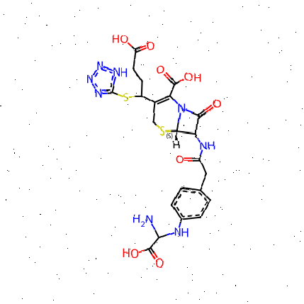 NC(Nc1ccc(CC(=O)NC2C(=O)N3C(C(=O)O)=C(C(CCC(=O)O)Sc4nnn[nH]4)CS[C@@H]23)cc1)C(=O)O